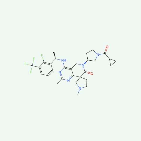 Cc1nc(N[C@H](C)c2cccc(C(F)(F)F)c2F)c2c(n1)C1(CCN(C)C1)C(=O)N([C@H]1CCN(C(=O)C3CC3)C1)C2